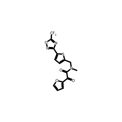 CN(Cc1ccc(-c2noc(C(F)(F)F)n2)s1)C(=O)C(=O)c1ccco1